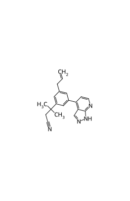 C=CCc1cc(-c2ccnc3[nH]ncc23)cc(C(C)(C)CC#N)c1